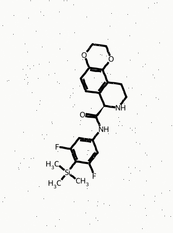 C[Si](C)(C)c1c(F)cc(NC(=O)[C@@H]2NCCc3c2ccc2c3OCCO2)cc1F